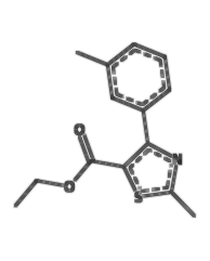 CCOC(=O)c1sc(C)nc1-c1cccc(C)c1